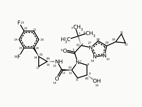 CC(C)(C)[C@@H](C(=O)N1C[C@H](O)C[C@H]1C(=O)N[C@@H]1C[C@H]1c1ccc(F)cc1F)n1cc(C2CC2)nn1